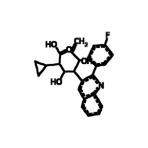 C=CC(O)C(c1cc2ccccc2nc1-c1ccc(F)cc1)C(O)C(C(=O)O)C1CC1